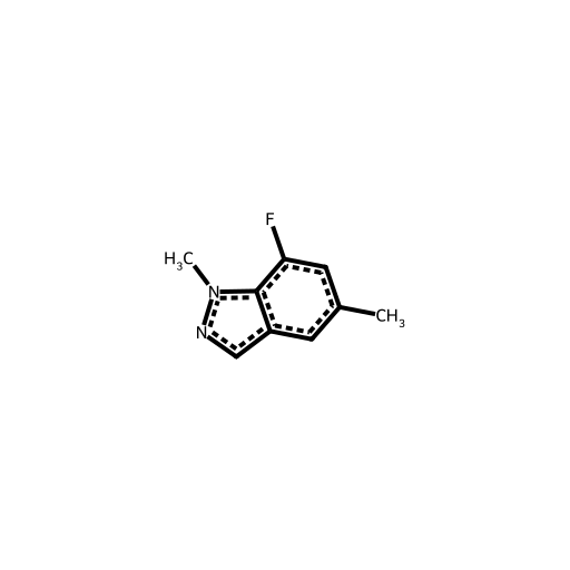 Cc1cc(F)c2c(cnn2C)c1